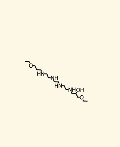 CCOCCCNCCNCCNCCNCC(O)COCC